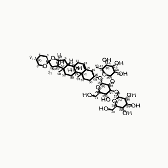 C[C@@H]1CC[C@@]2(OC1)O[C@H]1C[C@H]3[C@@H]4CC=C5C[C@@H](O[C@@H]6O[C@H](CO)[C@@H](O)[C@H](O[C@@H]7O[C@H](CO)[C@@H](O)[C@H](O)[C@H]7O)[C@H]6O[C@@H]6O[C@@H](C)[C@H](O)[C@@H](O)[C@H]6O)CC[C@]5(C)[C@H]4CC[C@]3(C)[C@H]1[C@@H]2C